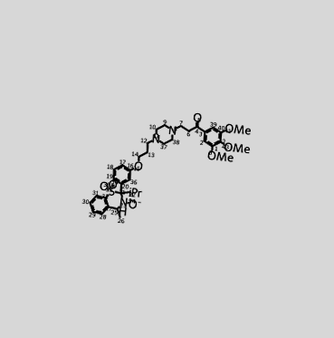 COc1cc(C(=O)CCN2CCN(CCCOc3cccc(C4(C(C)C)[NH+]([O-])C(C)c5ccccc5S4(=O)=O)c3)CC2)cc(OC)c1OC